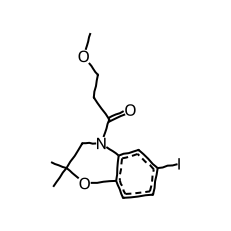 COCCC(=O)N1CC(C)(C)Oc2ccc(I)cc21